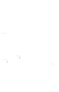 CC(=O)c1c(C)c(C(=O)C2CC2)n2ncccc12